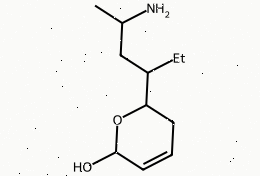 CCC(CC(C)N)C1CC=CC(O)O1